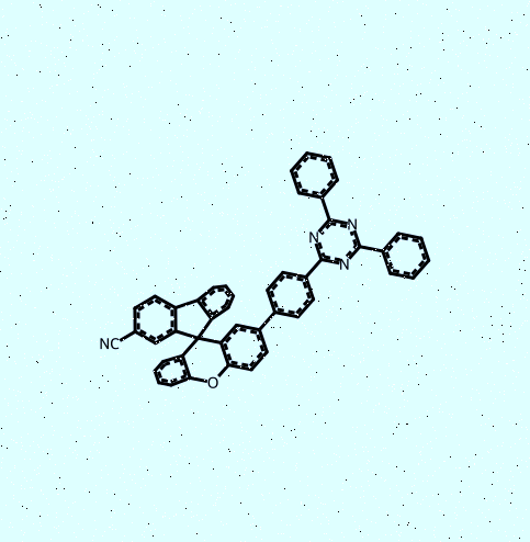 N#Cc1ccc2c(c1)C1(c3ccccc3Oc3ccc(-c4ccc(-c5nc(-c6ccccc6)nc(-c6ccccc6)n5)cc4)cc31)c1ccccc1-2